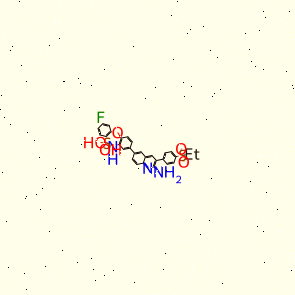 CCS(=O)(=O)c1ccc(-c2cc3cc(-c4ccc5c(c4)NS(O)(O)c4ccc(F)cc4O5)ccc3nc2N)cc1